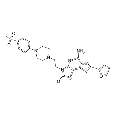 CS(=O)(=O)c1ccc(N2CCN(CCn3c(=O)sc4c3nc(N)n3nc(-c5ccco5)nc43)CC2)cc1